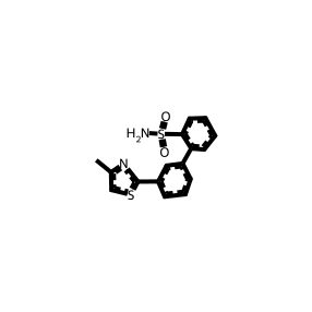 Cc1csc(-c2cccc(-c3ccccc3S(N)(=O)=O)c2)n1